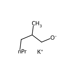 CCCCC(C)C[O-].[K+]